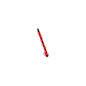 CCCCOCCOCCOCCCOCCOCCOCC(=O)OC(C)(C)C